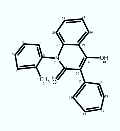 Cc1ccccc1-n1c(=O)c(-c2ccccc2)c(O)c2ccccc21